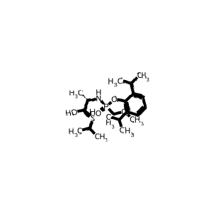 COCP(=O)(N[C@@H](C)C(O)=[SH]C(C)C)Oc1c(C(C)C)cccc1C(C)C